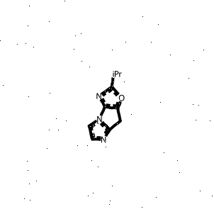 CC(C)c1nc2c(o1)Cc1nccn1-2